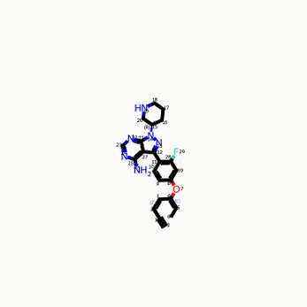 C#C/C=C\C(=C/C)Oc1ccc(-c2nn([C@@H]3CCCNC3)c3ncnc(N)c23)c(F)c1